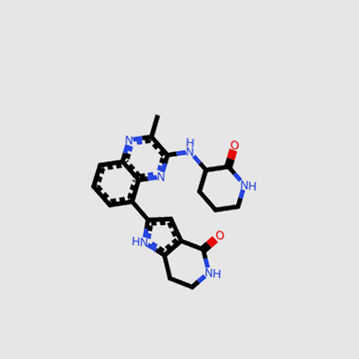 Cc1nc2cccc(-c3cc4c([nH]3)CCNC4=O)c2nc1NC1CCCNC1=O